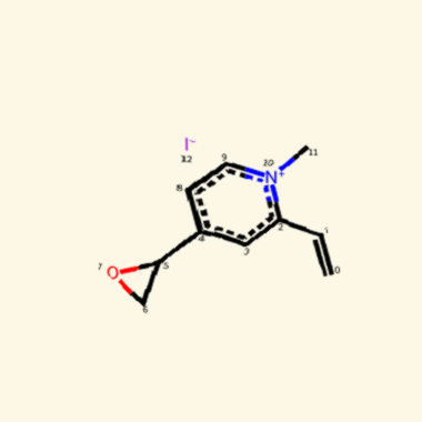 C=Cc1cc(C2CO2)cc[n+]1C.[I-]